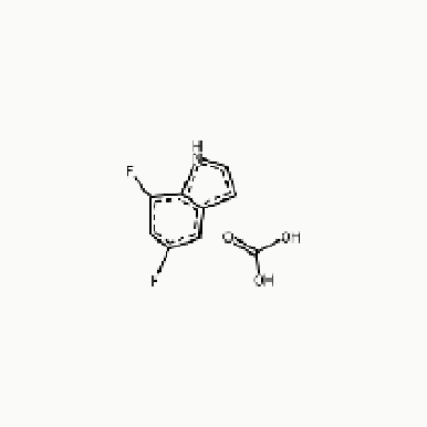 Fc1cc(F)c2[nH]ccc2c1.O=C(O)O